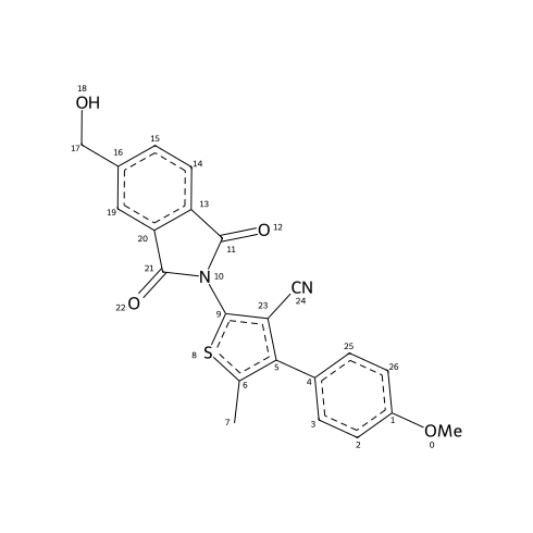 COc1ccc(-c2c(C)sc(N3C(=O)c4ccc(CO)cc4C3=O)c2C#N)cc1